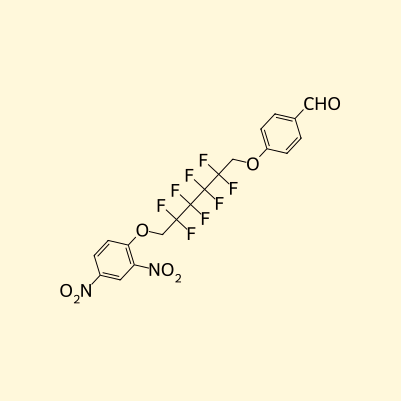 O=Cc1ccc(OCC(F)(F)C(F)(F)C(F)(F)C(F)(F)COc2ccc([N+](=O)[O-])cc2[N+](=O)[O-])cc1